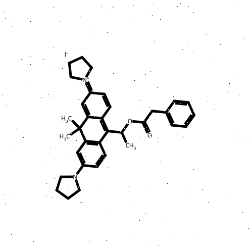 CC(OC(=O)Cc1ccccc1)C1=C2C=CC(=[N+]3CCCC3)C=C2C(C)(C)c2cc(N3CCCC3)ccc21.[I-]